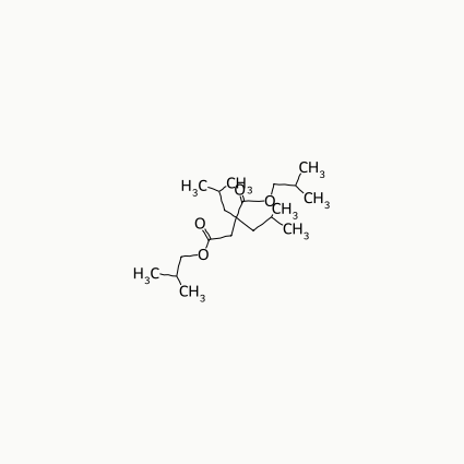 CC(C)COC(=O)CC(CC(C)C)(CC(C)C)C(=O)OCC(C)C